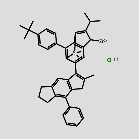 CC1=C(c2cc3c4c(-c5ccc(C(C)(C)C)cc5)c2[Si](C)(C)C4=C(C(C)C)[CH]3[Zr+2])c2cc3c(c(-c4ccccc4)c2C1)CCC3.[Cl-].[Cl-]